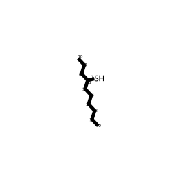 CCCCCCC(S)CCC